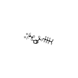 C=C(C)C(=O)OC1CC2CC(C(=O)OCC(F)(F)C(F)(F)C(F)(F)C(F)F)C1C2